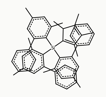 CC1=C(C)C(C)C([Si](c2c(C)cc(C)cc2-c2ccccc2)(c2c(C)cc(C)cc2-c2ccccc2)c2c(C)cc(C)cc2-c2ccccc2)=C1C